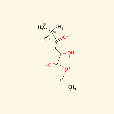 CCOC(=O)C(O)CC(=O)C(C)(C)C